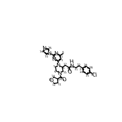 Cc1cc(N2CCN(C(=O)C3CCOC3)CC2CC(=O)NCCc2ccc(Cl)cc2)nc(-n2ccnc2)n1